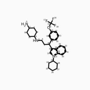 NC1CCC(NCCC(c2cccc(OC(F)(F)F)c2)c2cn(C3CCCCC3)c3ccccc23)CC1